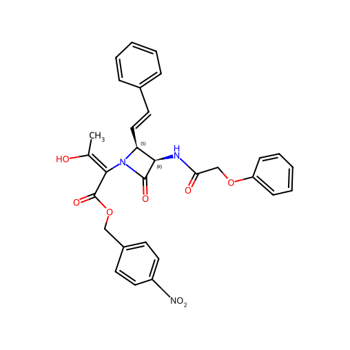 CC(O)=C(C(=O)OCc1ccc([N+](=O)[O-])cc1)N1C(=O)[C@H](NC(=O)COc2ccccc2)[C@@H]1C=Cc1ccccc1